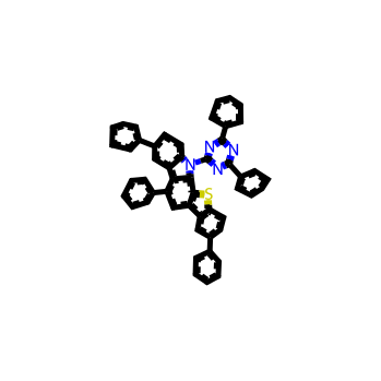 c1ccc(-c2ccc3sc4c(cc(-c5ccccc5)c5c6cc(-c7ccccc7)ccc6n(-c6nc(-c7ccccc7)nc(-c7ccccc7)n6)c45)c3c2)cc1